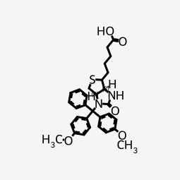 COc1ccc(C(c2ccccc2)(c2ccc(OC)cc2)N2C(=O)N[C@@H]3C(CCCCC(=O)O)SC[C@@H]32)cc1